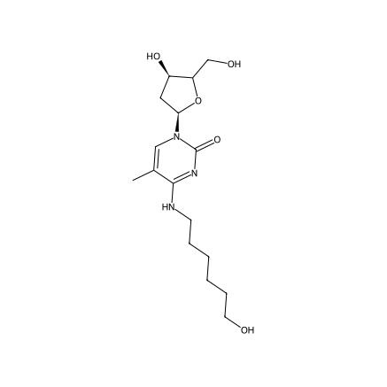 Cc1cn([C@H]2C[C@@H](O)C(CO)O2)c(=O)nc1NCCCCCCO